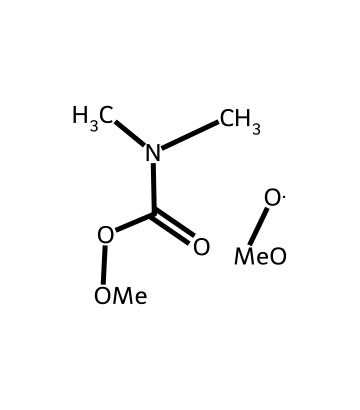 COOC(=O)N(C)C.CO[O]